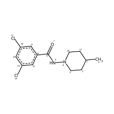 CC1CCN(NC(=O)c2cc(Cl)cc(Cl)c2)CC1